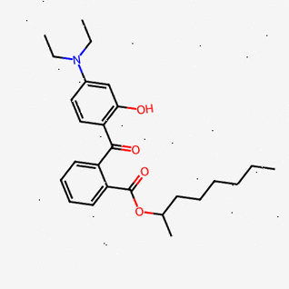 CCCCCCC(C)OC(=O)c1ccccc1C(=O)c1ccc(N(CC)CC)cc1O